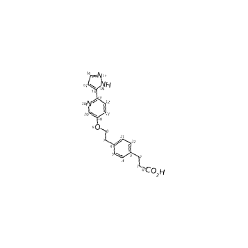 O=C(O)CCc1ccc(CCOc2ccc(-c3ccn[nH]3)nc2)cc1